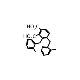 Cc1ccccc1Cc1ccc(C(=O)O)c(C(=O)O)c1Cc1ccccc1C